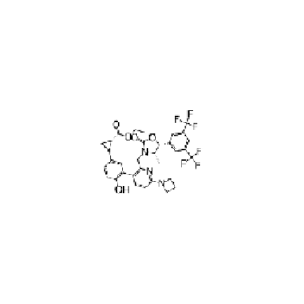 CCOC(=O)[C@H]1C[C@@H]1c1ccc(O)c(-c2ccc(N3CCC3)nc2CN2C(=O)O[C@H](c3cc(C(F)(F)F)cc(C(F)(F)F)c3)[C@@H]2C)c1